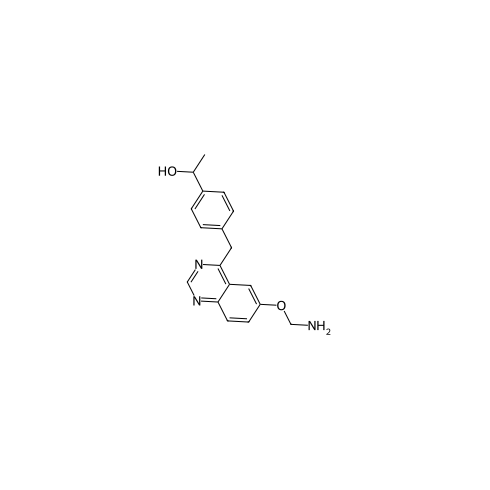 CC(O)c1ccc(Cc2ncnc3ccc(OCN)cc23)cc1